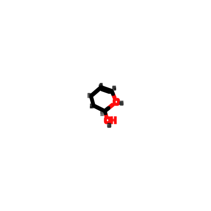 OC1CCC=CO1